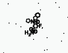 NS(=O)(=O)c1ccc(OC2c3ccccc3CC2NC2CCCC2)c(F)c1